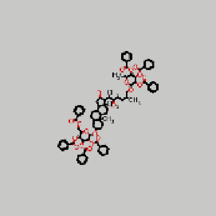 CC1O[C@@H](OC[C@@H](C)CCC(=O)[C@@H](C)C2C(=O)CC3C4CCC5CC(O[C@@H]6OC(COC(=O)c7ccccc7)[C@H](OC(=O)c7ccccc7)C(OC(=O)c7ccccc7)C6OC(=O)c6ccccc6)CCC5(C)C4CCC32C)C(OC(=O)c2ccccc2)C(OC(=O)c2ccccc2)[C@H]1OC(=O)c1ccccc1